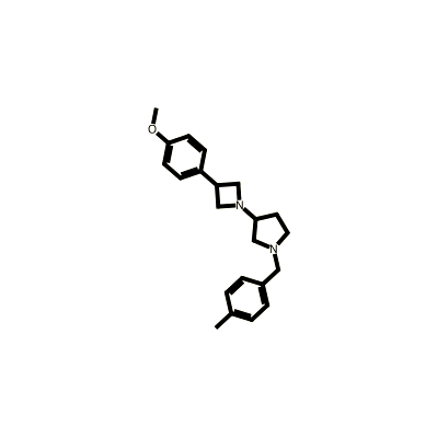 COc1ccc(C2CN(C3CCN(Cc4ccc(C)cc4)C3)C2)cc1